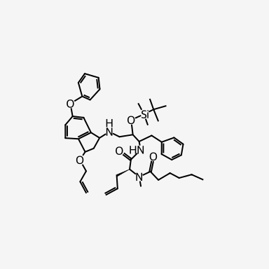 C=CCOC1CC(NCC(O[Si](C)(C)C(C)(C)C)C(Cc2ccccc2)NC(=O)[C@H](CC=C)N(C)C(=O)CCCCC)c2cc(Oc3ccccc3)ccc21